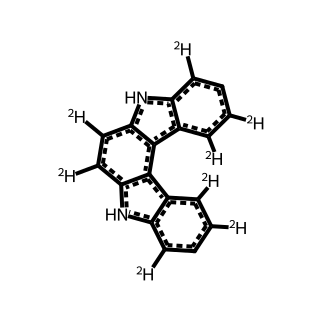 [2H]c1cc([2H])c2[nH]c3c([2H])c([2H])c4[nH]c5c([2H])cc([2H])c([2H])c5c4c3c2c1[2H]